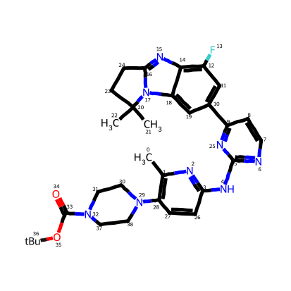 Cc1nc(Nc2nccc(-c3cc(F)c4nc5n(c4c3)C(C)(C)CC5)n2)ccc1N1CCN(C(=O)OC(C)(C)C)CC1